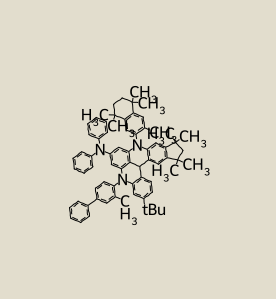 Cc1cc(-c2ccccc2)ccc1N1c2cc(C(C)(C)C)ccc2C2c3cc4c(cc3N(c3cc5c(cc3C)C(C)(C)CCC5(C)C)c3cc(N(c5ccccc5)c5ccccc5)cc1c32)C(C)(C)CC4(C)C